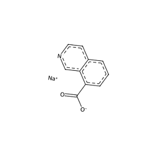 O=C([O-])c1cccc2ccncc12.[Na+]